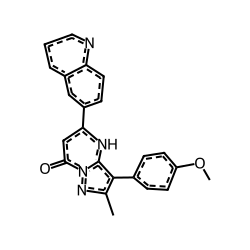 COc1ccc(-c2c(C)nn3c(=O)cc(-c4ccc5ncccc5c4)[nH]c23)cc1